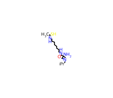 CC(C)CN1CC(N)(C(=O)NCCCCCCCCNC(C)S)C1